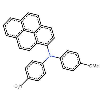 COc1ccc(N(c2ccc([N+](=O)[O-])cc2)c2ccc3ccc4cccc5ccc2c3c45)cc1